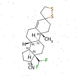 C[C@]12CCC3(C=C1CC[C@H]1[C@@H]4CC[C@H](C#N)[C@@]4(C(F)F)CC[C@@H]12)CCSS3